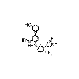 CC(C)Nc1cc(N2CCCC(O)C2)ccc1Nc1ncc(C(F)(F)F)c(N2C[C@H](F)[C@@H](F)C2)n1